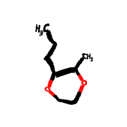 CCCC1=C(C)OCCO1